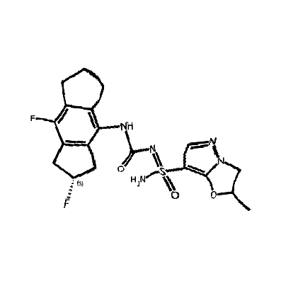 CC1Cn2ncc(S(N)(=O)=NC(=O)Nc3c4c(c(F)c5c3C[C@H](F)C5)CCC4)c2O1